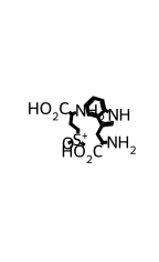 C[S+]([O-])CCC(N)C(=O)O.NC(Cc1c[nH]c2ccccc12)C(=O)O